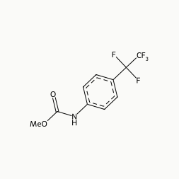 [CH2]OC(=O)Nc1ccc(C(F)(F)C(F)(F)F)cc1